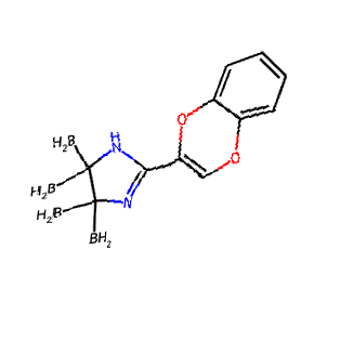 BC1(B)N=C(C2=COc3ccccc3O2)NC1(B)B